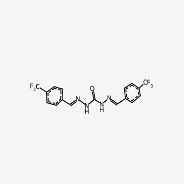 O=C(NN=Cc1ccc(C(F)(F)F)cc1)NN=Cc1ccc(C(F)(F)F)cc1